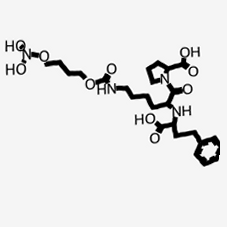 O=C(NCCCCC(NC(CCc1ccccc1)C(=O)O)C(=O)N1CCCC1C(=O)O)OCCCCON(O)O